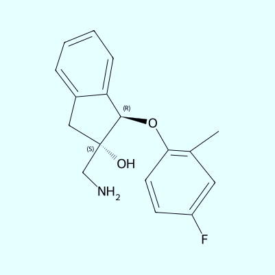 Cc1cc(F)ccc1O[C@@H]1c2ccccc2C[C@]1(O)CN